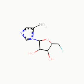 O=[N+]([O-])c1cncn1C1OC(CF)C(O)C1O